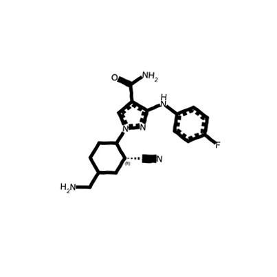 N#C[C@@H]1CC(CN)CCC1n1cc(C(N)=O)c(Nc2ccc(F)cc2)n1